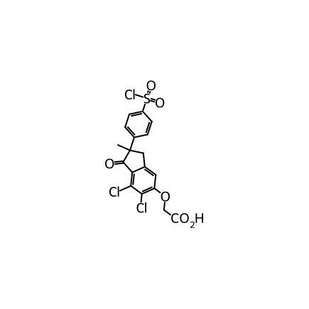 CC1(c2ccc(S(=O)(=O)Cl)cc2)Cc2cc(OCC(=O)O)c(Cl)c(Cl)c2C1=O